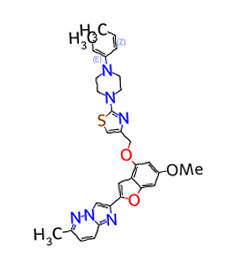 C/C=C\C(=C/C)N1CCN(c2nc(COc3cc(OC)cc4oc(-c5cn6nc(C)ccc6n5)cc34)cs2)CC1